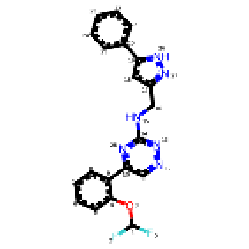 FC(F)Oc1ccccc1-c1cnnc(NCc2cc(-c3ccccc3)[nH]n2)n1